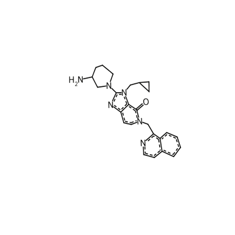 NC1CCCN(c2nc3ccn(Cc4nccc5ccccc45)c(=O)c3n2CC2CC2)C1